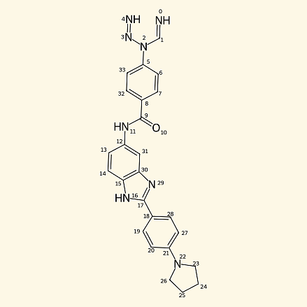 N=CN(N=N)c1ccc(C(=O)Nc2ccc3[nH]c(-c4ccc(N5CCCC5)cc4)nc3c2)cc1